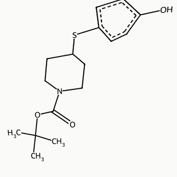 CC(C)(C)OC(=O)N1CCC(Sc2ccc(O)cc2)CC1